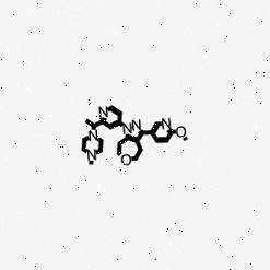 COc1ccc(-c2nn(-c3ccnc(C(C)N4CCN(C)CC4)c3)c3c2CCOCC3)cn1